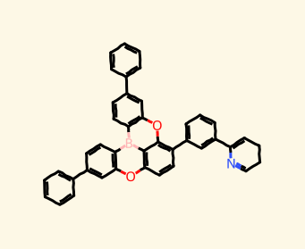 C1=NC(c2cccc(-c3ccc4c5c3Oc3cc(-c6ccccc6)ccc3B5c3ccc(-c5ccccc5)cc3O4)c2)=CCC1